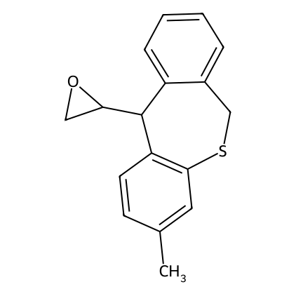 Cc1ccc2c(c1)SCc1ccccc1C2C1CO1